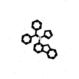 C1=CC[C]([Ti](=[C](c2ccccc2)c2ccccc2)[c]2cccc3c2Cc2ccccc2-3)=C1